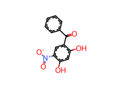 O=C(c1ccccc1)c1cc([N+](=O)[O-])c(O)cc1O